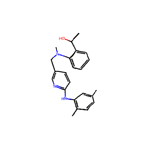 Cc1ccc(C)c(Nc2ccc(CN(C)c3ccccc3C(C)O)cn2)c1